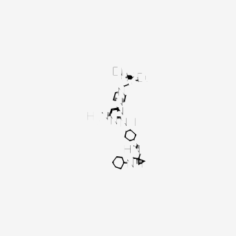 CCOP(=O)(CCN1CCN(c2cc(N)nc(NC[C@H]3CC[C@H](CNCC4(CNC5CCCCC5)CC4)CC3)n2)CC1)OCC